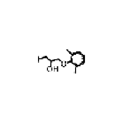 Cc1cccc(C)c1OCC(O)CI